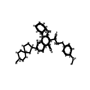 COc1ccc(CNC(=O)c2c(=O)c3cnc(N4CCC5(CCN(C)CC5)C4)nc3n3c2[nH]c2ccccc23)cc1